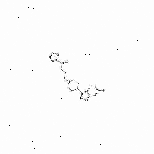 O=C(CCCN1CCC(c2noc3cc(F)ccc23)CC1)c1cccs1